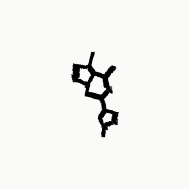 Cc1cnn2cc(-c3cnn(C)c3)nc(C)c12